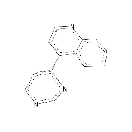 c1ccc2c(-c3ccncn3)ccnc2c1